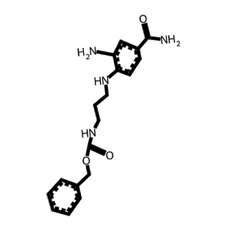 NC(=O)c1ccc(NCCCNC(=O)OCc2ccccc2)c(N)c1